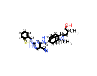 C[C@H](CO)CCN(C)[C@@H]1[C@@H]2CC3C[C@H]1C[C@](CNc1nc(NCc4ccccc4S)ncc1C#N)(C3)C2